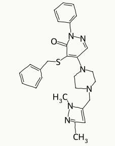 Cc1cc(CN2CCN(c3cnn(-c4ccccc4)c(=O)c3SCc3ccccc3)CC2)n(C)n1